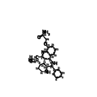 Cc1cc(N[C@@H](c2ccccc2)[C@@H]2CCCCN2)c2cccc(OCC(N)=O)c2n1.Cl.Cl